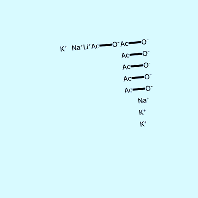 CC(=O)[O-].CC(=O)[O-].CC(=O)[O-].CC(=O)[O-].CC(=O)[O-].CC(=O)[O-].[K+].[K+].[K+].[Li+].[Na+].[Na+]